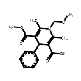 COCN1C(C)=C(C(=O)O)C(c2ccccc2)C(C(=O)OC)=C1C